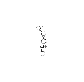 CC1CCCN1C1CCN(c2ccc(NC(=O)N3CCCCC3)cc2)C1